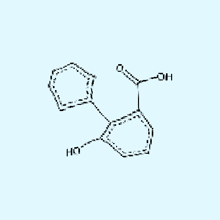 O=C(O)c1cccc(O)c1-c1ccccc1